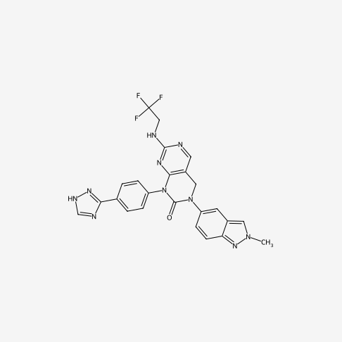 Cn1cc2cc(N3Cc4cnc(NCC(F)(F)F)nc4N(c4ccc(-c5nc[nH]n5)cc4)C3=O)ccc2n1